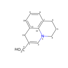 O=C(O)C1=CN2CCCc3cccc(c32)C1